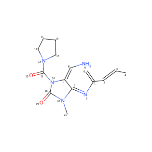 C=C(/C=C/C)/N=C1\C(=C/N)N(C(=O)N2CCCC2)C(=O)N1C